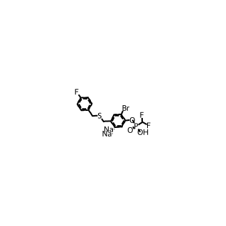 O=P(O)(Oc1ccc(CSCc2ccc(F)cc2)cc1Br)C(F)F.[Na].[Na]